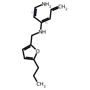 C=C/C=C(\C=C/N)NCc1ccc(CCC)o1